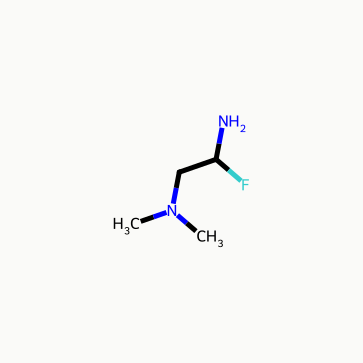 CN(C)CC(N)F